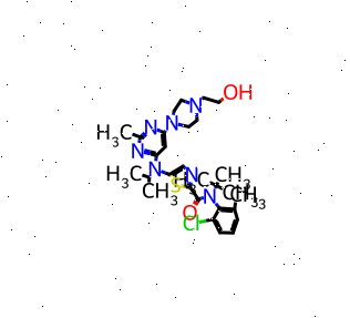 Cc1nc(N2CCN(CCO)CC2)cc(N(c2cnc(C(=O)N(c3c(C)cccc3Cl)C(C)(C)C)s2)C(C)C)n1